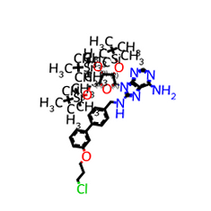 CC(C)(C)[Si](C)(C)OC[C@H]1O[C@@H](n2c(NCc3ccc(-c4cccc(OCCCCl)c4)cc3)nc3c(N)ncnc32)[C@H](O[Si](C)(C)C(C)(C)C)[C@@H]1O[Si](C)(C)C(C)(C)C